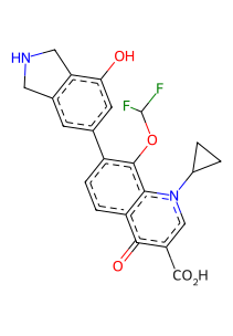 O=C(O)c1cn(C2CC2)c2c(OC(F)F)c(-c3cc(O)c4c(c3)CNC4)ccc2c1=O